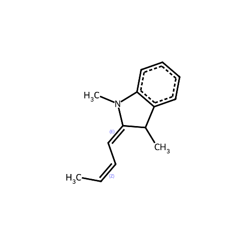 C/C=C\C=C1/C(C)c2ccccc2N1C